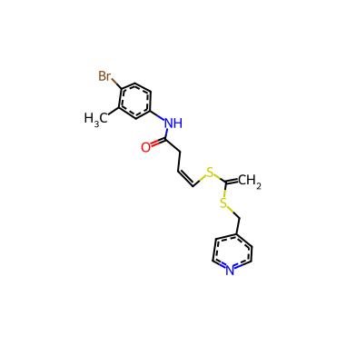 C=C(S/C=C\CC(=O)Nc1ccc(Br)c(C)c1)SCc1ccncc1